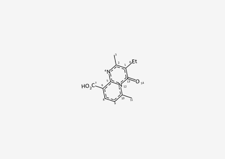 CCc1c(C)nc2c(C(=O)O)ccc(C)n2c1=O